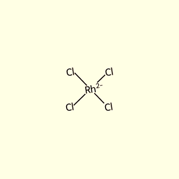 [Cl][Rh-2]([Cl])([Cl])[Cl]